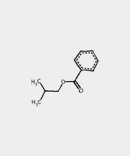 CC(C)COC(=O)c1cc[c]cc1